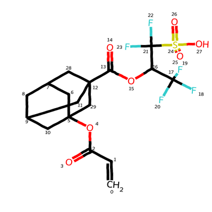 C=CC(=O)OC12CC3CC(C1)CC(C(=O)OC(C(F)(F)F)C(F)(F)S(=O)(=O)O)(C3)C2